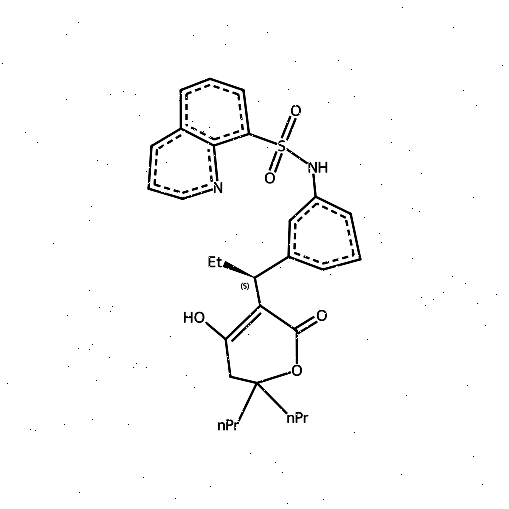 CCCC1(CCC)CC(O)=C([C@@H](CC)c2cccc(NS(=O)(=O)c3cccc4cccnc34)c2)C(=O)O1